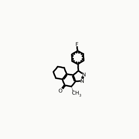 C[C@@H]1C(=O)C2=C(CCCC2)C2=C1N=NC2c1ccc(F)cc1